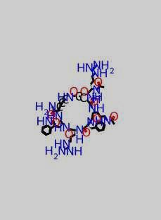 CC(=O)NCCCC1NC(=O)[C@@H](NC(=O)[C@H](CCCNC(=N)N)NC(C)=O)CCC(=O)NCCCC(C(N)=O)NC(=O)[C@H](Cc2c[nH]c3ccccc23)NC(=O)[C@H](CCCNC(=N)N)NC(=O)[C@@H](Cc2ccccc2)NC1=O